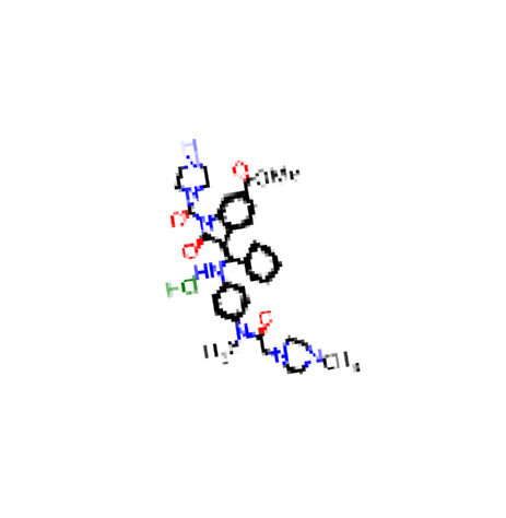 COC(=O)c1ccc2c(c1)N(C(=O)N1CCNCC1)C(=O)/C2=C(\Nc1ccc(N(C)C(=O)CN2CCN(C)CC2)cc1)c1ccccc1.Cl